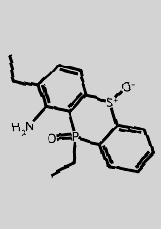 CCc1ccc2c(c1N)P(=O)(CC)c1ccccc1[S+]2[O-]